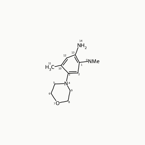 CNc1cc(N2CCOCC2)c(C)cc1N